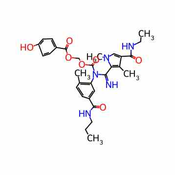 CCCNC(=O)c1ccc(C)c(N(C(=N)c2c(C)c(C(=O)NCC)cn2C)C(=O)OCOC(=O)c2ccc(O)cc2)c1